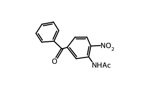 CC(=O)Nc1cc(C(=O)c2ccccc2)ccc1[N+](=O)[O-]